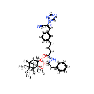 CC1(C)[C@@H]2C[C@H]3OB([C@H](Cc4ccccc4)NC(=O)CCCc4cccc(/C=C(\C#N)n5cncn5)c4)O[C@@]3(C)[C@H]1C2